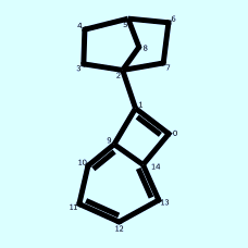 C1=C(C23CCC(CC2)C3)c2ccccc21